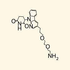 NCCOCCOCCCc1cnc2c(c1)c1ccccc1n2C1CCC(=O)NC1=O